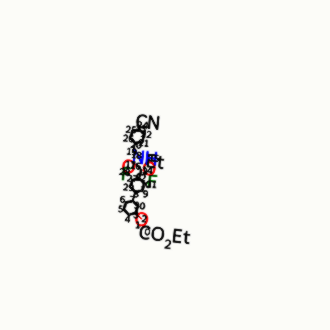 CCOC(=O)COc1cccc(-c2cc(F)c(C(OCC)C(=O)NCc3ccc(C#N)cc3)c(F)c2)c1